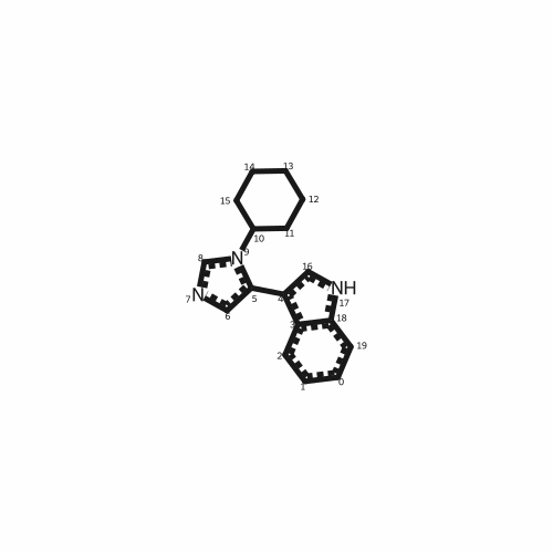 c1ccc2c(-c3cncn3C3CCCCC3)c[nH]c2c1